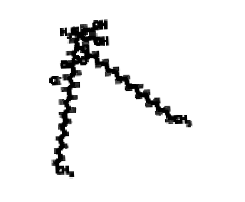 CCCCCCCCC=CCCCCCCCC(=O)OCC(C[N+](C)(CCO)CCO)OC(=O)CCCCCCCC=CCCCCCCCC.[Cl-]